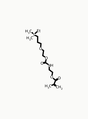 C=C(C)C(=O)OCCNC(=O)OCCOCCCS(C)(C)CC